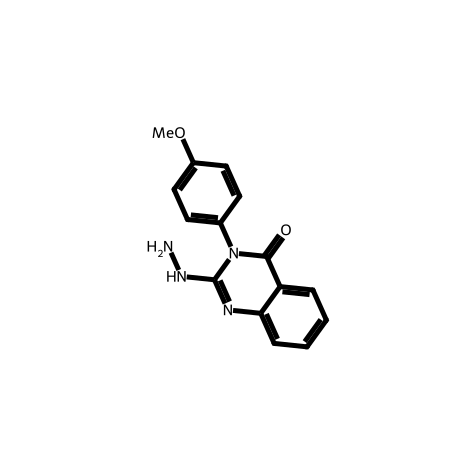 COc1ccc(-n2c(NN)nc3ccccc3c2=O)cc1